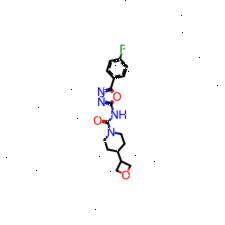 O=C(Nc1nnc(-c2ccc(F)cc2)o1)N1CCC(C2COC2)CC1